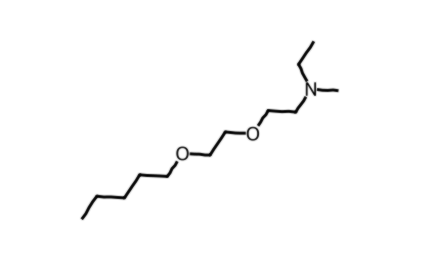 CCCCCOCCOCCN(C)CC